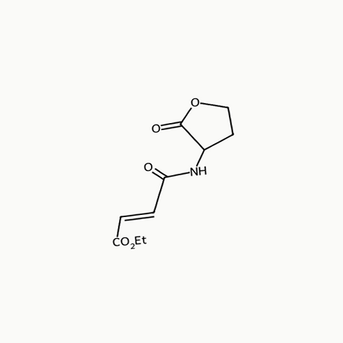 CCOC(=O)/C=C/C(=O)NC1CCOC1=O